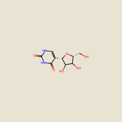 O=c1[nH]cc([C@@H]2O[C@H](CO)C(O)C2O)c(=O)[nH]1